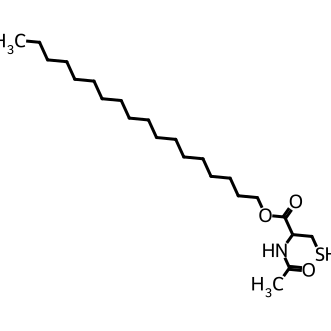 CCCCCCCCCCCCCCCCCCOC(=O)C(CS)NC(C)=O